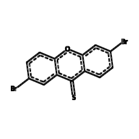 S=c1c2ccc(Br)cc2oc2ccc(Br)cc12